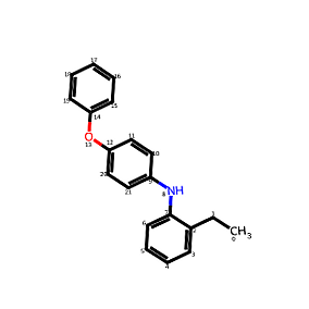 CCc1ccccc1Nc1ccc(Oc2ccccc2)cc1